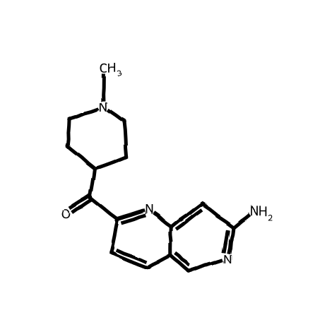 CN1CCC(C(=O)c2ccc3cnc(N)cc3n2)CC1